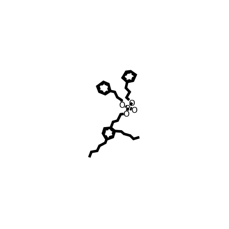 CCCCCc1ccc(CCCOP(=O)(OCCCc2ccccc2)OCCCc2ccccc2)c(CCCCC)c1